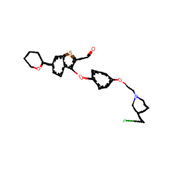 O=Cc1sc2cc(C3CCCCO3)ccc2c1Oc1ccc(OCCN2CCC(CF)C2)cc1